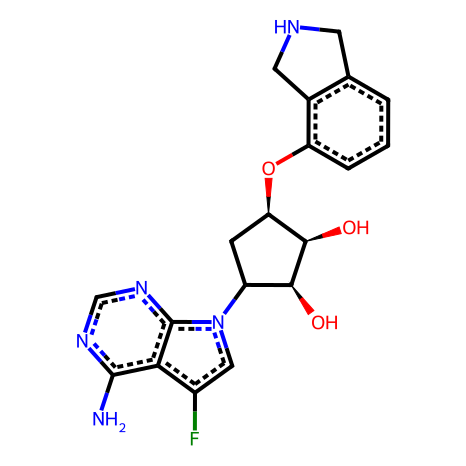 Nc1ncnc2c1c(F)cn2C1C[C@@H](Oc2cccc3c2CNC3)[C@@H](O)[C@H]1O